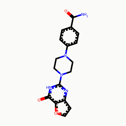 NC(=O)c1ccc(N2CCN(c3nc4ccoc4c(=O)[nH]3)CC2)cc1